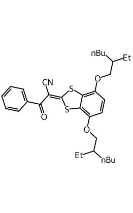 CCCCC(CC)COc1ccc(OCC(CC)CCCC)c2c1SC(=C(C#N)C(=O)c1ccccc1)S2